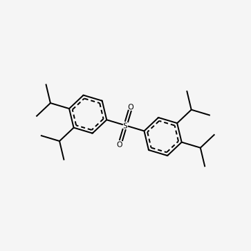 CC(C)c1ccc(S(=O)(=O)c2ccc(C(C)C)c(C(C)C)c2)cc1C(C)C